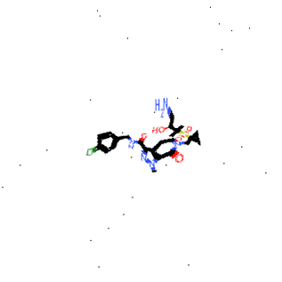 Cn1nc(C(=O)NCc2ccc(Cl)cc2)c2c1C(=O)N(CC1(S(=O)(=O)C(C)(C)[C@@H](O)CN)CC1)CC2